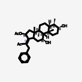 CC(=O)O[C@H]1C[C@@]2(C)C(C[C@@H](O)[C@H]3[C@@]4(C)CC[C@@H](O)[C@@H](C)[C@@H]4CC[C@@]32C)/C1=C(\Cc1ccccc1)C(C)=O